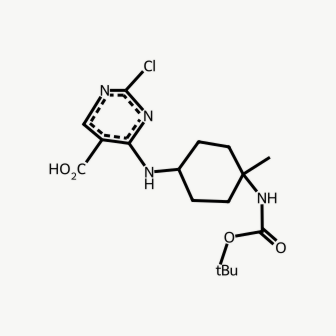 CC1(NC(=O)OC(C)(C)C)CCC(Nc2nc(Cl)ncc2C(=O)O)CC1